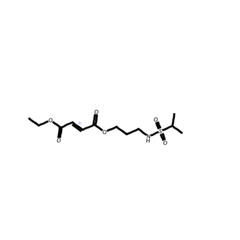 CCOC(=O)/C=C/C(=O)OCCCNS(=O)(=O)C(C)C